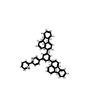 c1ccc(-c2ccc(-c3cc(-c4ccc5c6c(cccc46)-c4ccccc4-5)cc(-c4ccc5c6c(cccc46)-c4ccccc4-5)c3)cn2)nc1